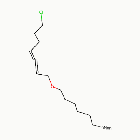 CCCCCCCCCCCCCCCOCC=C=CCCCCl